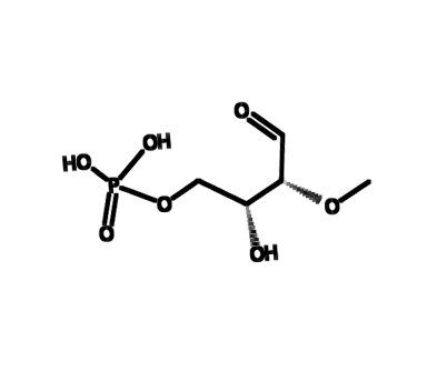 CO[C@@H](C=O)[C@H](O)COP(=O)(O)O